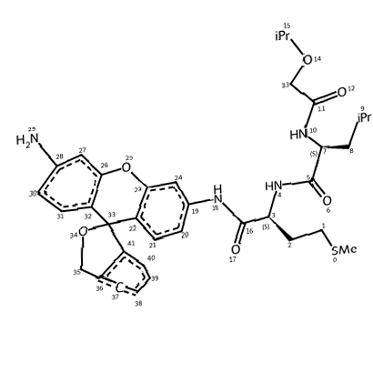 CSCC[C@H](NC(=O)[C@H](CC(C)C)NC(=O)COC(C)C)C(=O)Nc1ccc2c(c1)Oc1cc(N)ccc1C21OCc2ccccc21